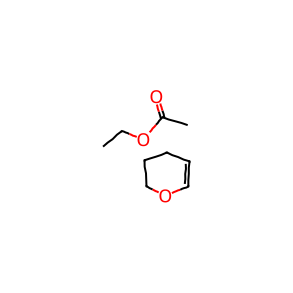 C1=COCCC1.CCOC(C)=O